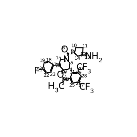 C[C@@H](O[C@H]1CCN(C(=O)[C@@H]2CC[C@H](N)C2)C[C@@H]1c1ccc(F)cc1)c1cc(C(F)(F)F)cc(C(F)(F)F)c1